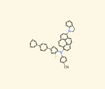 N#Cc1ccc(N(c2ccc(-c3ccc(-c4ccccc4)cc3)cc2F)c2ccc3ccc4c(N5CCc6ccccc65)ccc5ccc2c3c54)cc1